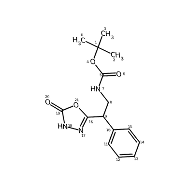 CC(C)(C)OC(=O)NCC(c1ccccc1)c1n[nH]c(=O)o1